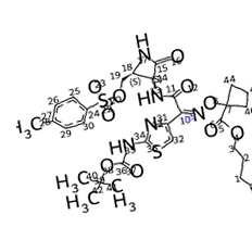 CCCCOC(=O)C1(O/N=C(\C(=O)N[C@@H]2C(=O)N[C@@H]2COS(=O)(=O)c2ccc(C)cc2)c2csc(NC(=O)OC(C)(C)C)n2)CCC1